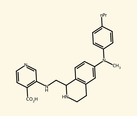 CCCc1ccc(N(C)c2ccc3c(c2)CCNC3CNc2cnccc2C(=O)O)cc1